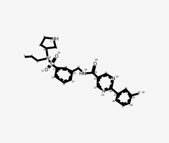 CCCN(C1CCNC1)S(=O)(=O)c1cccc(CNC(=O)c2cnc(-c3cccc(F)c3)nc2)c1